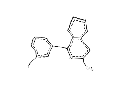 Cc1cc2ccccc2c(-c2cccc(I)c2)n1